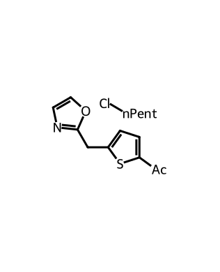 CC(=O)c1ccc(Cc2ncco2)s1.CCCCCCl